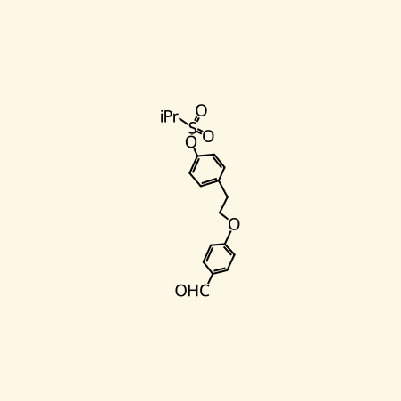 CC(C)S(=O)(=O)Oc1ccc(CCOc2ccc(C=O)cc2)cc1